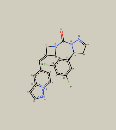 O=C(N1CC(=Cc2ccn3nccc3c2)C1)N1N=CC[C@H]1c1cc(F)cc(F)c1